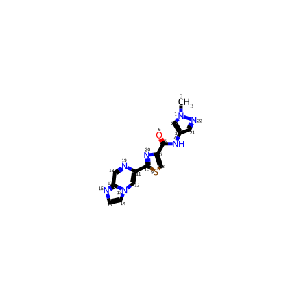 Cn1cc(NC(=O)c2csc(-c3cn4ccnc4cn3)n2)cn1